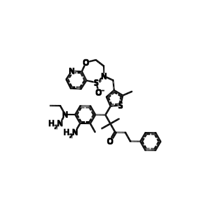 CCN(N)c1ccc(C(c2cc(CN3CCOc4ncccc4[S+]3[O-])c(C)s2)C(C)(C)C(=O)CCc2ccccc2)c(C)c1N